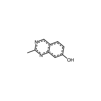 Cc1ncc2ccc(O)cc2n1